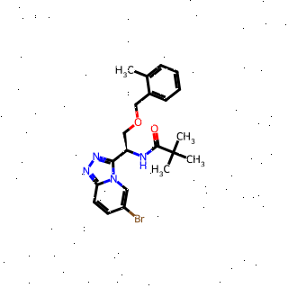 Cc1ccccc1COC[C@@H](NC(=O)C(C)(C)C)c1nnc2ccc(Br)cn12